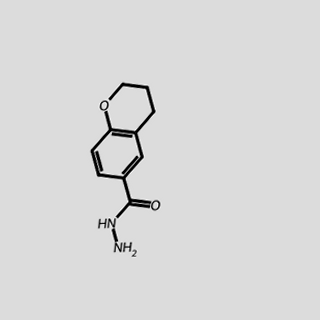 NNC(=O)c1ccc2c(c1)CCCO2